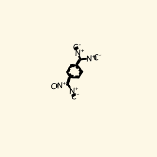 [C-]#[N+]C([N+]#[C-])=c1ccc(=C([N+]#[C-])[N+]#[C-])cc1